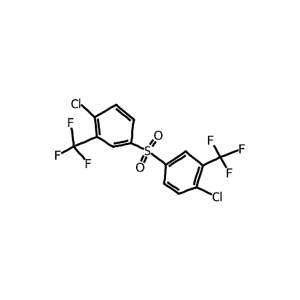 O=S(=O)(c1ccc(Cl)c(C(F)(F)F)c1)c1ccc(Cl)c(C(F)(F)F)c1